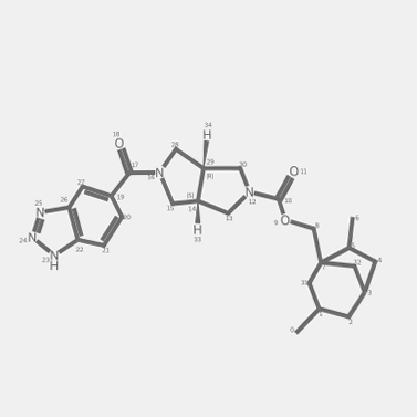 CC1CC2CC(C)C(COC(=O)N3C[C@@H]4CN(C(=O)c5ccc6[nH]nnc6c5)C[C@@H]4C3)(C1)C2